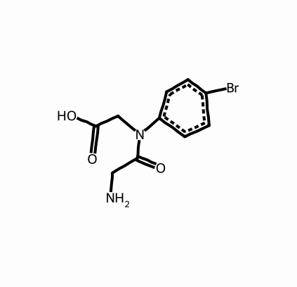 NCC(=O)N(CC(=O)O)c1ccc(Br)cc1